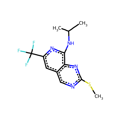 CSc1ncc2cc(C(F)(F)F)nc(NC(C)C)c2n1